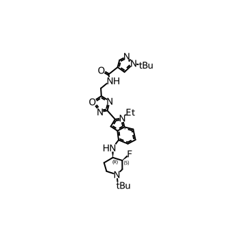 CCn1c(-c2noc(CNC(=O)c3cnn(C(C)(C)C)c3)n2)cc2c(N[C@@H]3CCN(C(C)(C)C)C[C@@H]3F)cccc21